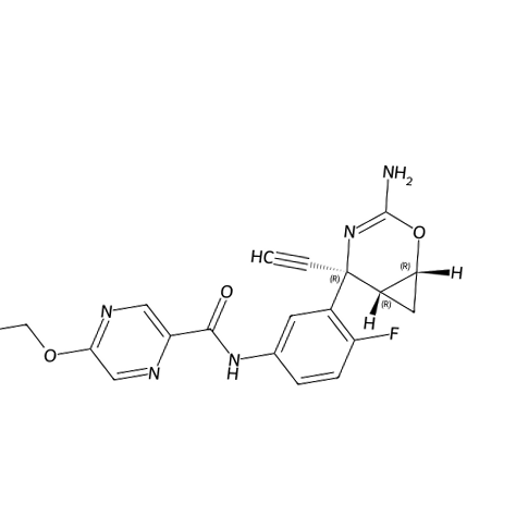 C#C[C@]1(c2cc(NC(=O)c3cnc(OCF)cn3)ccc2F)N=C(N)O[C@@H]2C[C@@H]21